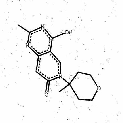 Cc1nc(O)c2cn(C3(C)CCOCC3)c(=O)cc2n1